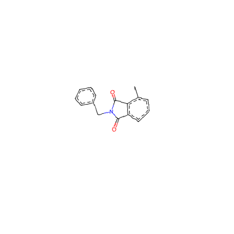 Cc1cccc2c1C(=O)N(Cc1ccccc1)C2=O